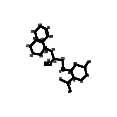 CC1CCC(C(C)C)C(OCC(O)CN2CCCC3=C2C=CCC3)C1